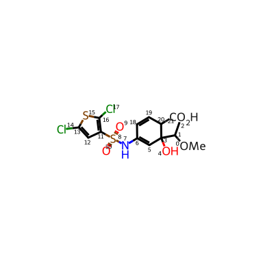 COC(C)C1(O)C=C(NS(=O)(=O)c2cc(Cl)sc2Cl)C=CC1C(=O)O